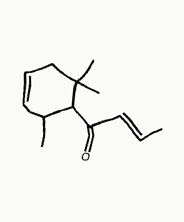 CC=CC(=O)C1C(C)C=CCC1(C)C